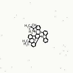 CC(C)(C)c1nn2c3c(cccc13)B1c3c-2c2c4cccc5c4n4c6c(cccc6c(c3-n3c6ccccc6c6cccc1c63)c24)C5(C)C